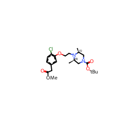 COC(=O)Cc1ccc(Cl)c(OCCN2[C@H](C)CN(C(=O)OC(C)(C)C)C[C@@H]2C)c1